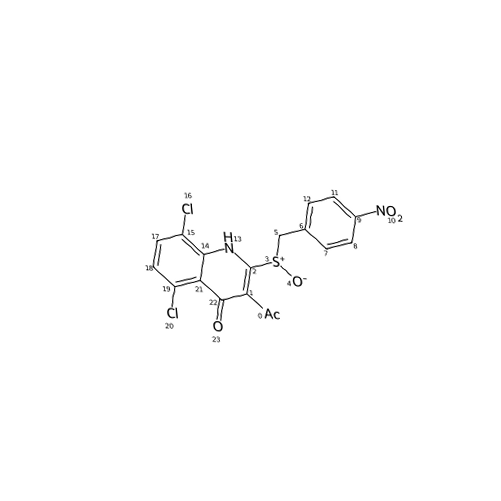 CC(=O)c1c([S+]([O-])Cc2ccc([N+](=O)[O-])cc2)[nH]c2c(Cl)ccc(Cl)c2c1=O